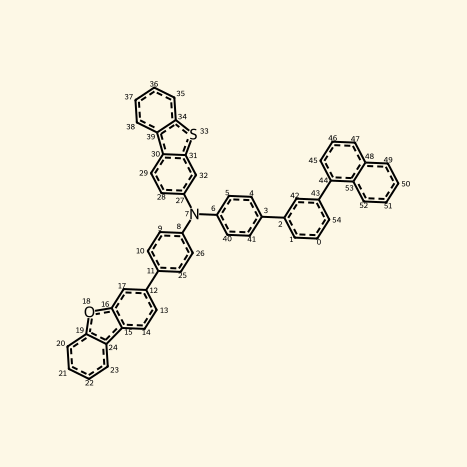 c1cc(-c2ccc(N(c3ccc(-c4ccc5c(c4)oc4ccccc45)cc3)c3ccc4c(c3)sc3ccccc34)cc2)cc(-c2cccc3ccccc23)c1